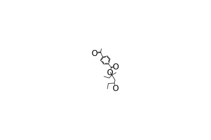 CCC(CC(C)(CC)OC(=O)c1ccc(C(C)=O)cc1)OC